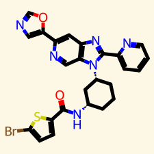 O=C(N[C@H]1CCC[C@@H](n2c(-c3ccccn3)nc3cc(-c4cnco4)ncc32)C1)c1ccc(Br)s1